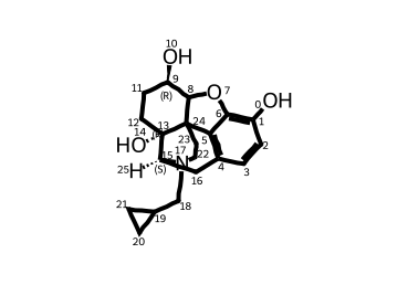 Oc1ccc2c3c1OC1[C@H](O)CC[C@]4(O)[C@H](C2)N(CC2CC2)CCC314